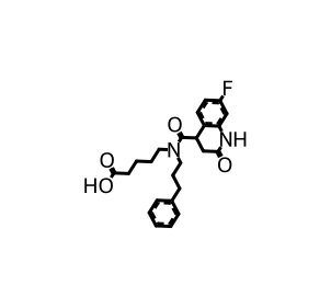 O=C(O)CCCCN(CCCc1ccccc1)C(=O)C1CC(=O)Nc2cc(F)ccc21